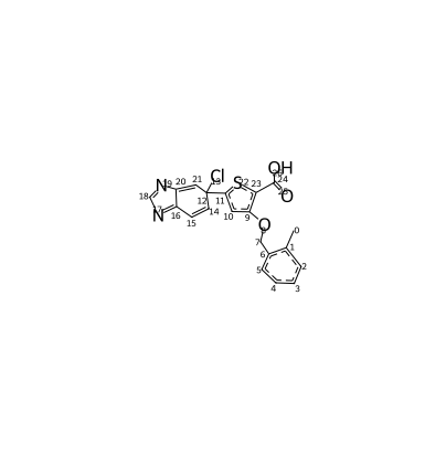 Cc1ccccc1COc1cc(C2(Cl)C=CC3=NC=NC3=C2)sc1C(=O)O